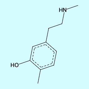 CNCCc1ccc(C)c(O)c1